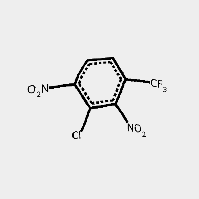 O=[N+]([O-])c1ccc(C(F)(F)F)c([N+](=O)[O-])c1Cl